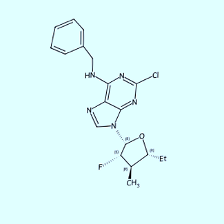 CC[C@H]1O[C@@H](n2cnc3c(NCc4ccccc4)nc(Cl)nc32)[C@@H](F)[C@@H]1C